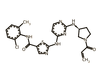 C=CC(=O)N1CC[C@H](Nc2nccc(Nc3ncc(C(=O)Nc4c(C)cccc4Cl)s3)n2)C1